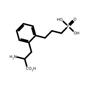 NC(Cc1ccccc1CCCP(=O)(O)O)C(=O)O